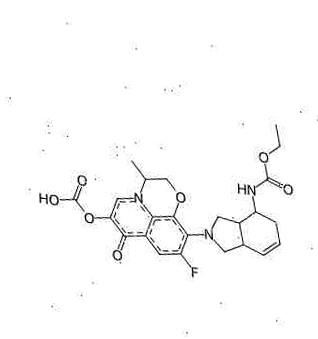 CCOC(=O)NC1CC=CC2CN(c3c(F)cc4c(=O)c(OC(=O)O)cn5c4c3OCC5C)CC21